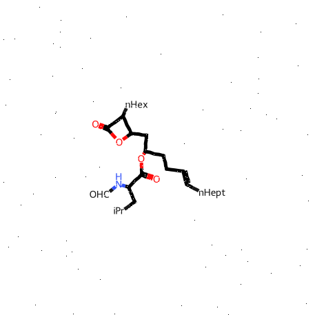 CCCCCCCC=CCCC(CC1OC(=O)C1CCCCCC)OC(=O)C(CC(C)C)NC=O